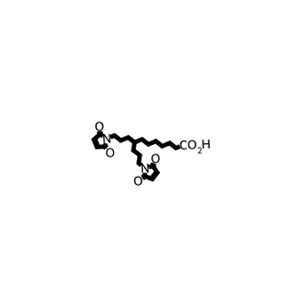 O=C(O)CCCCCCC(CCCN1C(=O)C=CC1=O)CCCN1C(=O)C=CC1=O